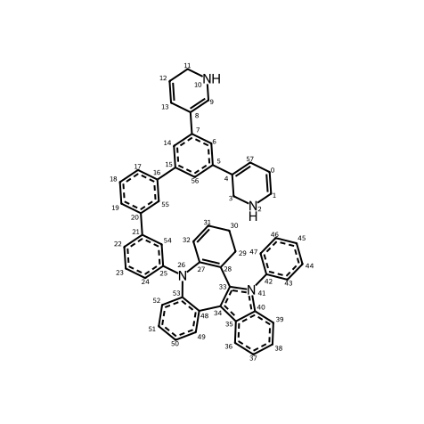 C1=CNCC(c2cc(C3=CNCC=C3)cc(-c3cccc(-c4cccc(N5C6=C(CCC=C6)c6c(c7ccccc7n6-c6ccccc6)-c6ccccc65)c4)c3)c2)=C1